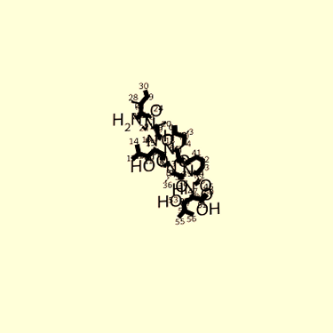 C=C[C@H](C)C[C@H](NC(=O)[C@H]([C@@H](O)C(C)C)N(C)C(=O)[C@H](C)N(C)C(=O)C(N)[C@@H](C)CC)C(=O)N(C)[C@@H](C)C(=O)N1CCCC[C@@H]1C(=O)NC(C(=O)O)[C@H](O)C(C)C